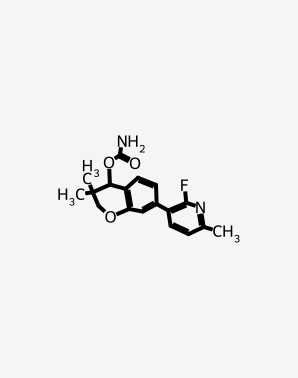 Cc1ccc(-c2ccc3c(c2)OCC(C)(C)C3OC(N)=O)c(F)n1